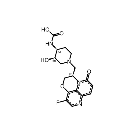 O=C(O)N[C@H]1CCN(C[C@@H]2COc3c(F)cnc4ccc(=O)n2c34)C[C@H]1O